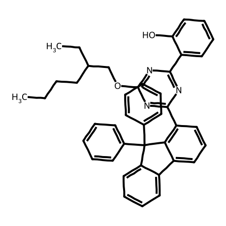 CCCCC(CC)COc1nc(-c2ccccc2O)nc(-c2cccc3c2C(c2ccccc2)(c2ccccc2)c2ccccc2-3)n1